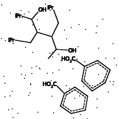 CC(C)CC(C(C)O)C(CC(C)C)C(O)C(C)C.O=C(O)c1ccccc1.O=C(O)c1ccccc1